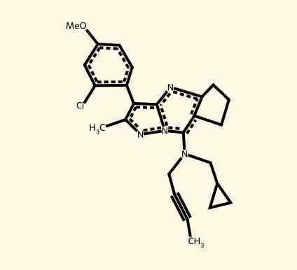 CC#CCN(CC1CC1)c1c2c(nc3c(-c4ccc(OC)cc4Cl)c(C)nn13)CCC2